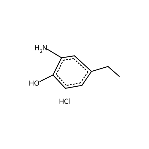 CCc1ccc(O)c(N)c1.Cl